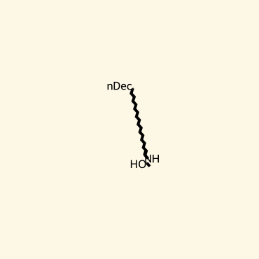 CCCCCCCCCCCCCCCCCCCCCCCCCCC=CNC(C)O